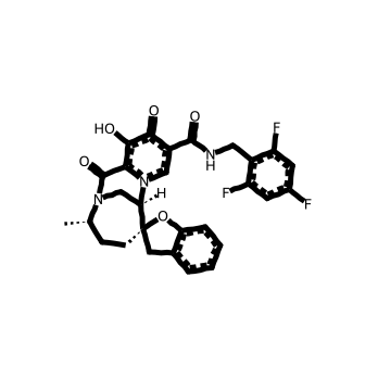 C[C@H]1CC[C@]2(Cc3ccccc3O2)[C@H]2CN1C(=O)c1c(O)c(=O)c(C(=O)NCc3c(F)cc(F)cc3F)cn12